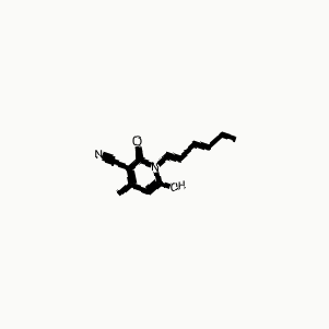 CCCCCCn1c(O)cc(C)c(C#N)c1=O